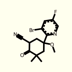 COC1(c2ncc(F)cc2Br)CC(C#N)C(=O)C(C)(C)C1